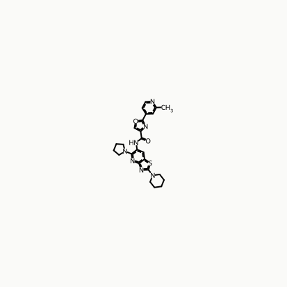 Cc1cc(-c2nc(C(=O)Nc3cc4sc(N5CCCCC5)nc4nc3N3CCCC3)co2)ccn1